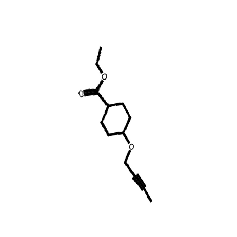 CC#CCOC1CCC(C(=O)OCC)CC1